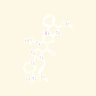 CC#CCN1C(N2CCCC(N)C2)=NC2C1C(=O)C(Cc1nc(C)c3ccccc3n1)C(=O)N2C